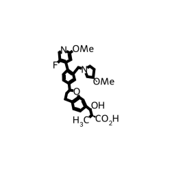 COc1cc(-c2ccc(C3CCc4ccc([C@H](O)[C@H](C)C(=O)O)cc4O3)cc2CN2CC[C@H](OC)C2)c(F)cn1